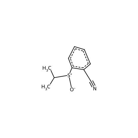 CC(C)[S+]([O-])c1ccccc1C#N